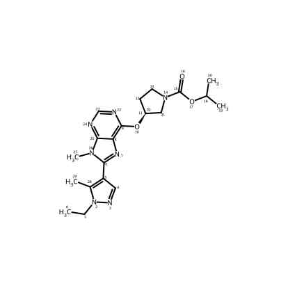 CCn1ncc(-c2nc3c(O[C@H]4CCN(C(=O)OC(C)C)C4)ncnc3n2C)c1C